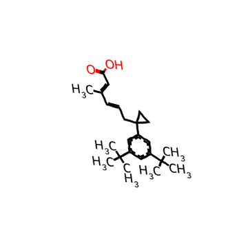 CC(C=CCC1(c2cc(C(C)(C)C)cc(C(C)(C)C)c2)CC1)=CC(=O)O